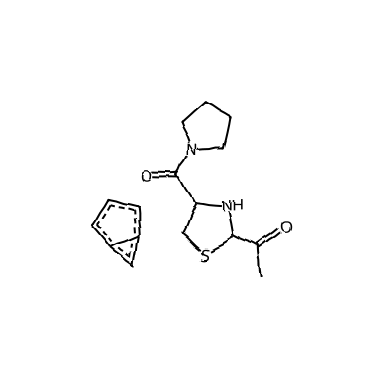 CC(=O)C1NC(C(=O)N2CCCC2)CS1.c1cc2cc-2c1